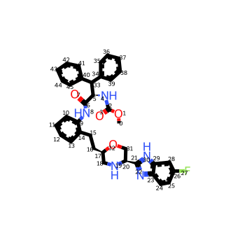 COC(=O)N[C@H](C(=O)Nc1ccccc1CC[C@@H]1CN[C@H](c2nc3ccc(F)cc3[nH]2)CO1)C(c1ccccc1)c1ccccc1